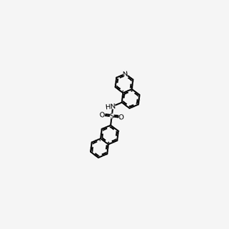 O=S(=O)(Nc1cccc2cnccc12)c1ccc2ccccc2c1